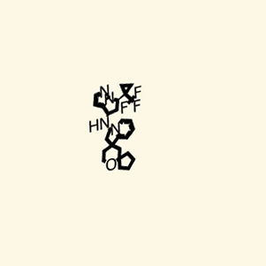 FC(F)(F)C1([C@H]2C[C@@H](NCCC3(c4ccccn4)CCOC4(CCCC4)C3)c3ccnn32)CC1